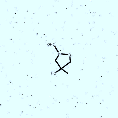 CC1(O)CON([C]=O)C1